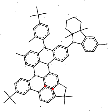 Cc1cc2c3c(c1)N(c1ccc(C(C)(C)C)cc1-c1ccccc1)c1cc4c(cc1B3c1ccc(N3c5ccc(F)cc5C5(C)CCCCC35C)cc1N2c1ccc(C(C)(C)C)cc1C)CC(C)(C)C4